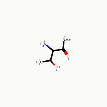 CNC(=O)C(N)C(C)O